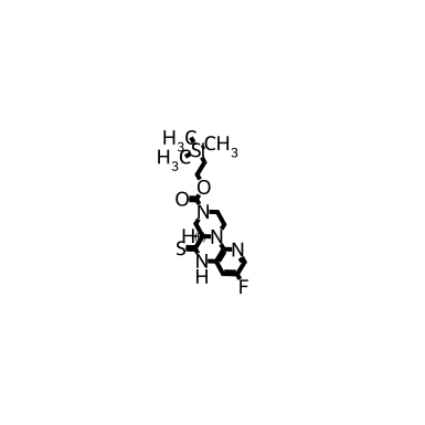 C[Si](C)(C)CCOC(=O)N1CCN2c3ncc(F)cc3NC(=S)[C@H]2C1